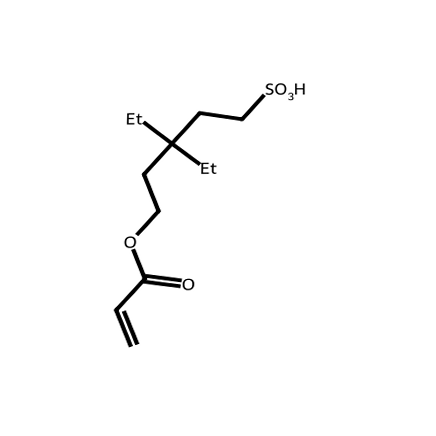 C=CC(=O)OCCC(CC)(CC)CCS(=O)(=O)O